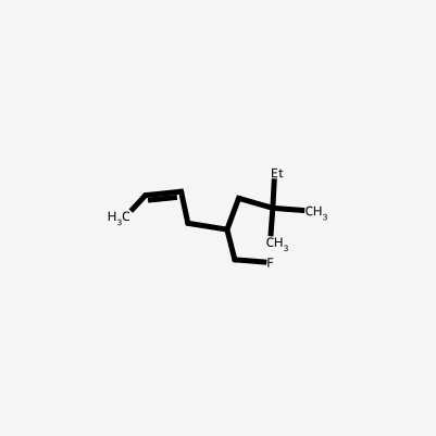 C/C=C\CC(CF)CC(C)(C)CC